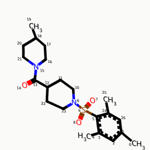 Cc1cc(C)c(S(=O)(=O)N2CCC(C(=O)N3CCC(C)CC3)CC2)c(C)c1